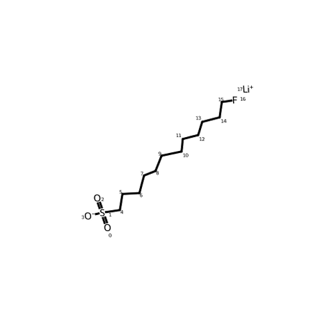 O=S(=O)([O-])CCCCCCCCCCCCF.[Li+]